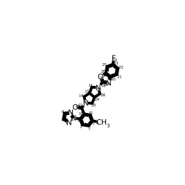 Cc1ccc(-n2nccn2)c(C(=O)N2CC3CN(c4nc5ccc(F)cc5o4)CC3C2)c1